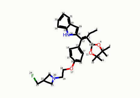 CC/C(B1OC(C)(C)C(C)(C)O1)=C(/c1ccc(OCCN2CC(CF)C2)cc1)c1cc2ccccc2[nH]1